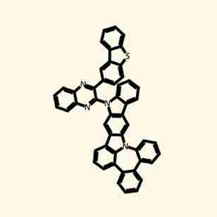 c1ccc2c(c1)-c1ccccc1-n1c3cc4c5ccccc5n(-c5nc6ccccc6nc5-c5ccc6sc7ccccc7c6c5)c4cc3c3cccc-2c31